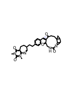 Cn1c2c(c(=O)n(C)c1=O)CCC(CCc1ccc(/C=C3/C(=O)CCC45CC4C4C5N4C(=O)NCC3=O)cc1)C=N2